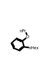 CCCCCCc1ccccc1OCCC